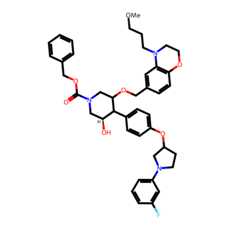 COCCCN1CCOc2ccc(COC3CN(C(=O)OCc4ccccc4)C[C@H](O)C3c3ccc(OC4CCN(c5cccc(F)c5)C4)cc3)cc21